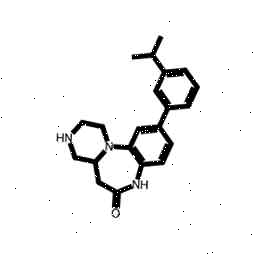 CC(C)c1cccc(-c2ccc3c(c2)N2CCNCC2CC(=O)N3)c1